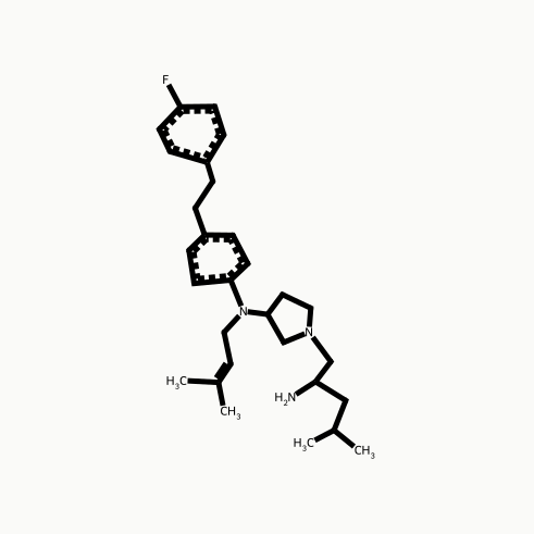 CC(C)=CCN(c1ccc(CCc2ccc(F)cc2)cc1)C1CCN(CC(N)CC(C)C)C1